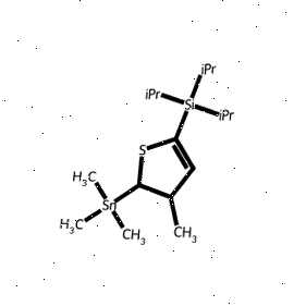 CC1C=C([Si](C(C)C)(C(C)C)C(C)C)S[CH]1[Sn]([CH3])([CH3])[CH3]